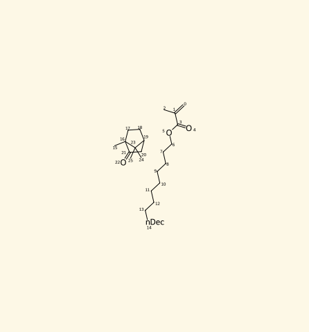 C=C(C)C(=O)OCCCCCCCCCCCCCCCCCC.CC12CCC(CC1=O)C2(C)C